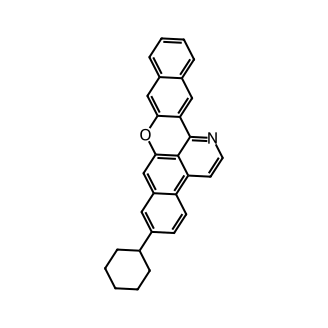 c1ccc2cc3c(cc2c1)Oc1cc2cc(C4CCCCC4)ccc2c2ccnc-3c12